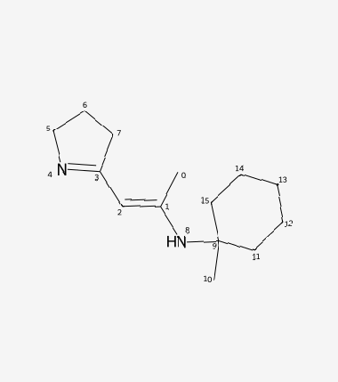 C/C(=C\C1=NCCC1)NC1(C)CCCCC1